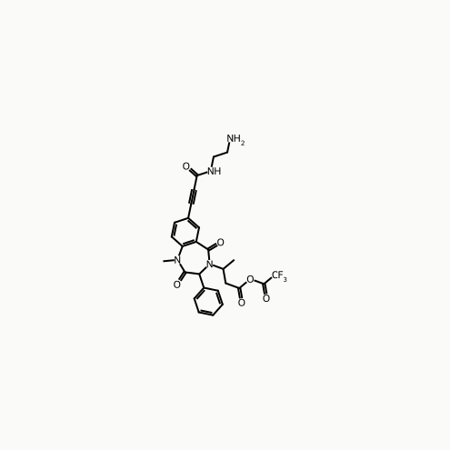 CC(CC(=O)OC(=O)C(F)(F)F)N1C(=O)c2cc(C#CC(=O)NCCN)ccc2N(C)C(=O)C1c1ccccc1